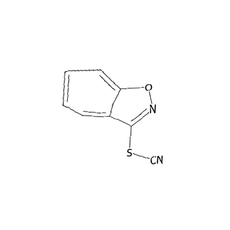 N#CSc1noc2ccccc12